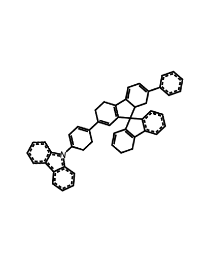 C1=CC2=C(CC1)c1ccccc1C21C2=C(CCC(C3=CC=C(n4c5ccccc5c5ccccc54)CC3)=C2)C2=CC=C(c3ccccc3)CC21